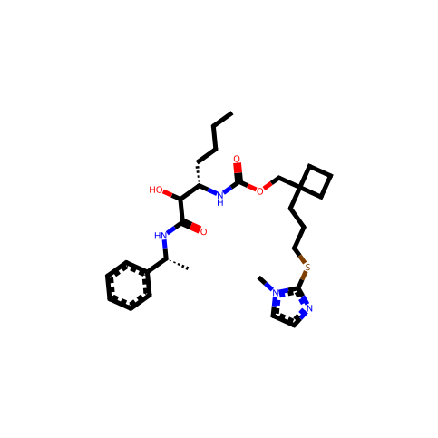 CCCC[C@H](NC(=O)OCC1(CCCSc2nccn2C)CCC1)C(O)C(=O)N[C@H](C)c1ccccc1